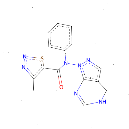 Cc1nnsc1C(=O)N(c1ccccc1)n1ncc2c1N=CNC2